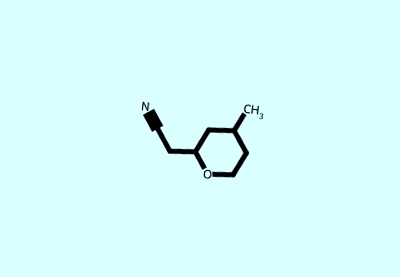 CC1CCOC(CC#N)C1